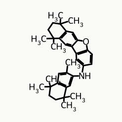 Cc1cc2c(cc1Nc1ccc3oc4cc5c(cc4c3c1)C(C)(C)CCC5(C)C)C(C)(C)CCC2(C)C